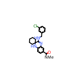 CNC(=O)c1ccc2c(c1)N=C(NCc1cccc(Cl)c1)C1(CCCCC1)N2